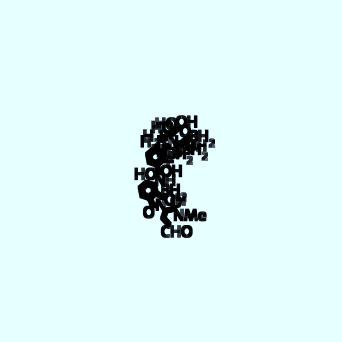 BC(B)(c1cccc(C(O)(O)Nc2cccc3c2C(B)(O)N(C(CCC=O)C(=O)NC)C3=O)c1F)N1C(B)(B)C(B)(O)OC(O)(O)C1(B)O